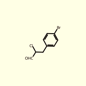 O=CC(Cl)Cc1ccc(Br)cc1